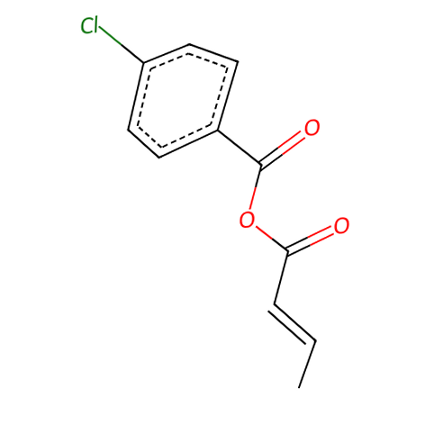 CC=CC(=O)OC(=O)c1ccc(Cl)cc1